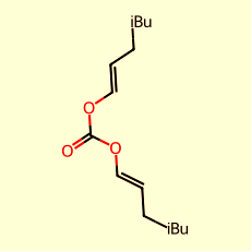 CCC(C)CC=COC(=O)OC=CCC(C)CC